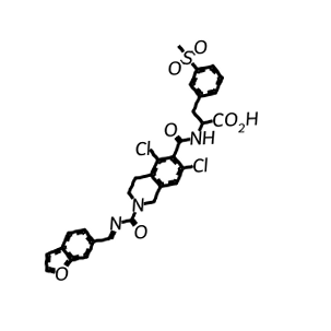 CS(=O)(=O)c1cccc(CC(NC(=O)c2c(Cl)cc3c(c2Cl)CCN(C(=O)N=Cc2ccc4ccoc4c2)C3)C(=O)O)c1